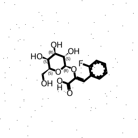 O=C(O)C(=Cc1ccccc1F)O[C@H]1O[C@@H](CO)[C@@H](O)[C@@H](O)[C@@H]1O